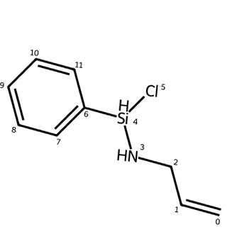 C=CCN[SiH](Cl)c1ccccc1